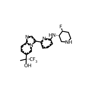 C[C@](O)(c1ccc2ncc(-c3cccc(N[C@H]4CNCC[C@@H]4F)n3)n2c1)C(F)(F)F